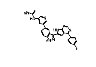 C=C(CCC)Nc1cncc(-c2ccc3[nH]nc(-c4cc5c(-c6ccc(F)cc6)nccc5[nH]4)c3c2)c1